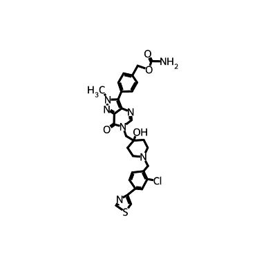 Cn1nc2c(=O)n(CC3(O)CCN(Cc4ccc(-c5cscn5)cc4Cl)CC3)cnc2c1-c1ccc(COC(N)=O)cc1